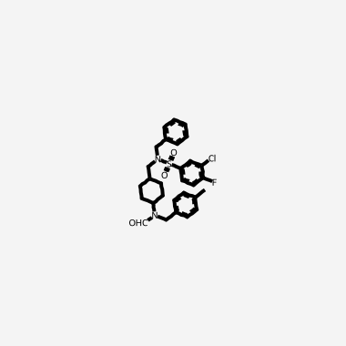 Cc1ccc(CN(C=O)C2CCC(CN(Cc3ccccc3)S(=O)(=O)c3ccc(F)c(Cl)c3)CC2)cc1